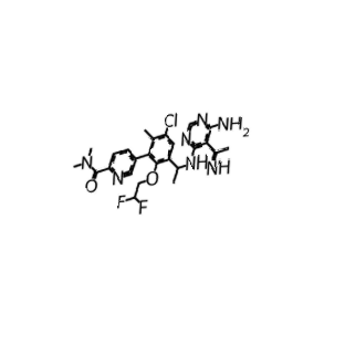 CC(=N)c1c(N)ncnc1NC(C)c1cc(Cl)c(C)c(-c2ccc(C(=O)N(C)C)nc2)c1OCC(F)F